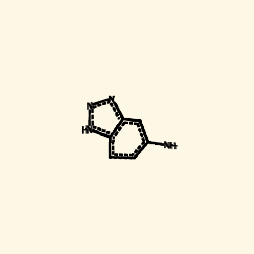 [NH]c1ccc2[nH]nnc2c1